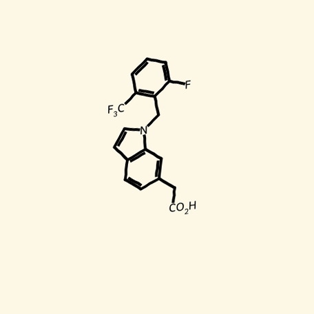 O=C(O)Cc1ccc2ccn(Cc3c(F)cccc3C(F)(F)F)c2c1